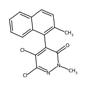 Cc1ccc2ccccc2c1-c1c(Cl)c(Cl)nn(C)c1=O